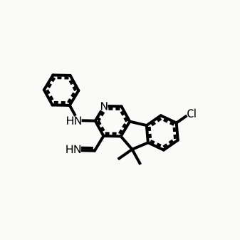 CC1(C)c2ccc(Cl)cc2-c2cnc(Nc3ccccc3)c(C=N)c21